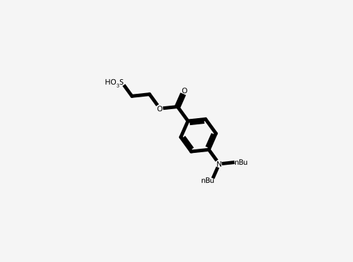 CCCCN(CCCC)c1ccc(C(=O)OCCS(=O)(=O)O)cc1